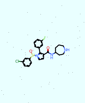 O=C(NC1CCCNCC1)c1ccn([S+]([O-])c2cccc(Cl)c2)c1-c1cccc(F)c1